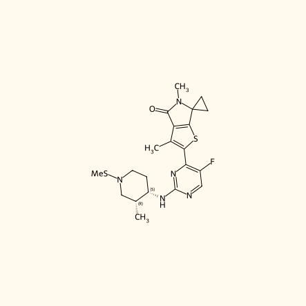 CSN1CC[C@H](Nc2ncc(F)c(-c3sc4c(c3C)C(=O)N(C)C43CC3)n2)[C@H](C)C1